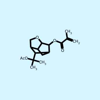 C=C(C)C(=O)OC1C2CC3C(COC31)C2C(C)(C)OC(C)=O